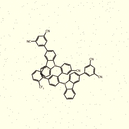 N#Cc1cc(C#N)cc(-c2ccc3c(c2)c2ccccc2n3-c2ccc(C#N)cc2-c2cc(-c3c(C(F)(F)F)cccc3C(F)(F)F)ccc2-n2c3ccccc3c3cc(-c4cc(C#N)cc(C#N)c4)ccc32)c1